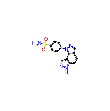 NS(=O)(=O)c1ccc(-n2ncc3ccc4[nH]ncc4c32)cc1